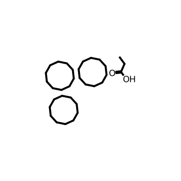 C1CCCCCCCCC1.C1CCCCCCCCC1.C1CCCCCCCCC1.CCC(=O)O